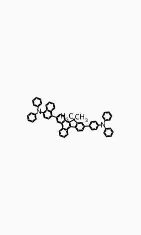 CC1(C)c2cc(-c3ccc(N(c4ccccc4)c4ccccc4)cc3)ccc2-c2c1c1ccc(-c3ccc(N(c4ccccc4)c4ccccc4)c4ccccc34)cc1c1ccccc21